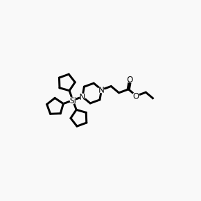 CCOC(=O)CCN1CCN([Si](C2CCCC2)(C2CCCC2)C2CCCC2)CC1